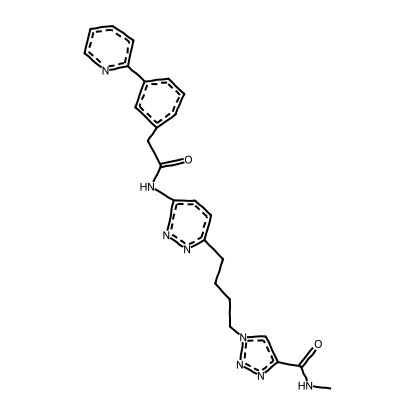 CNC(=O)c1cn(CCCCc2ccc(NC(=O)Cc3cccc(-c4ccccn4)c3)nn2)nn1